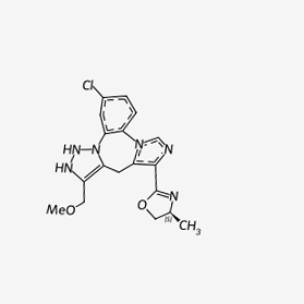 COCC1=C2Cc3c(C4=N[C@@H](C)CO4)ncn3-c3ccc(Cl)cc3N2NN1